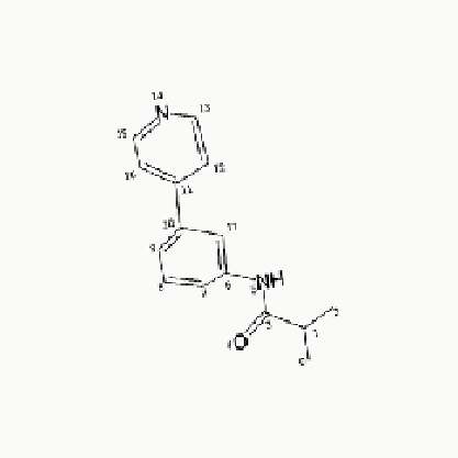 CC(C)C(=O)Nc1cccc(-c2ccncc2)c1